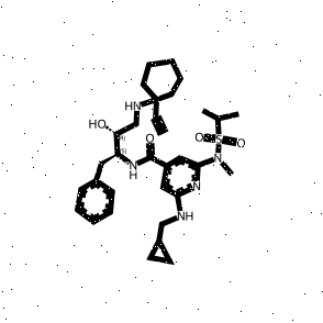 C#CC1(NC[C@@H](O)[C@H](Cc2ccccc2)NC(=O)c2cc(NCC3CC3)nc(N(C)S(=O)(=O)C(C)C)c2)CCCCC1